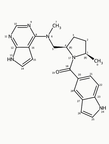 C[C@@H]1CC[C@H](CN(C)c2ncnc3[nH]ccc23)N1C(=O)c1ccc2[nH]ccc2c1